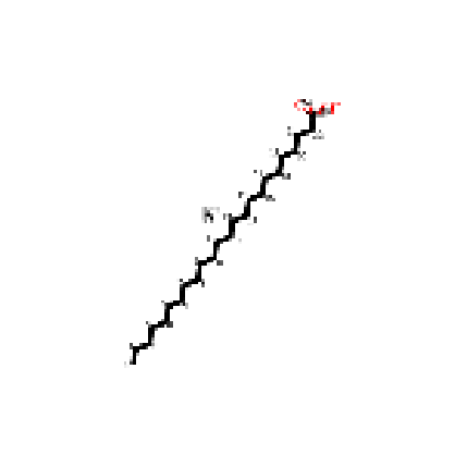 CCCCCCCCCCCCCCCCCCCCCCCC(=O)[O-].[K+]